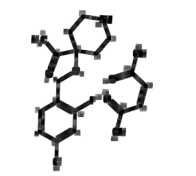 CC(=O)C1(OCc2ccc(Cl)cc2F)CCNCC1.O=C(O)/C=C\C(=O)O